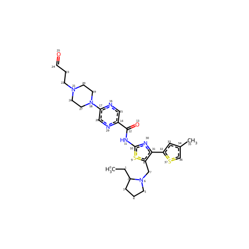 CCC1CCCN1Cc1sc(NC(=O)c2cnc(N3CCN(CCC=O)CC3)cn2)nc1-c1cc(C)cs1